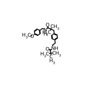 COc1ccc(CNC(=O)C(C)(C)Cc2ccc(CCNC(=O)C(C)(C)C)cc2)cc1